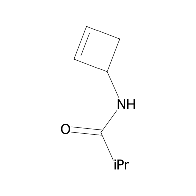 CC(C)C(=O)NC1C=CC1